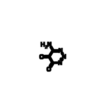 NC1=NN=NC(=O)C1=O